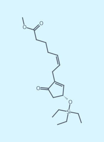 CC[Si](CC)(CC)O[C@H]1C=C(C/C=C\CCCC(=O)OC)C(=O)C1